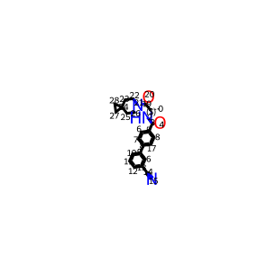 C[C@H](NC(=O)c1ccc(-c2cccc(C#N)c2)cc1)C(=O)N1CCC2(CC1)CC2